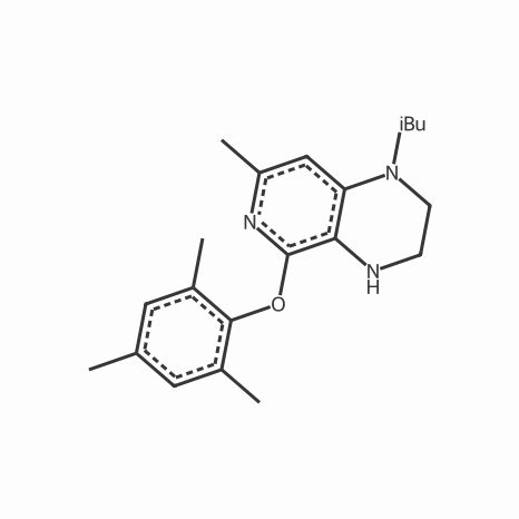 CCC(C)N1CCNc2c1cc(C)nc2Oc1c(C)cc(C)cc1C